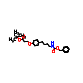 CC(C)(C)OC(=O)CCOc1ccc(CCCCNC(=O)OCc2ccccc2)cc1